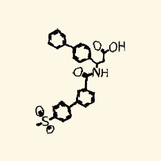 CS(=O)(=O)c1ccc(-c2cccc(C(=O)NC(CC(=O)O)c3ccc(-c4ccccc4)cc3)c2)cc1